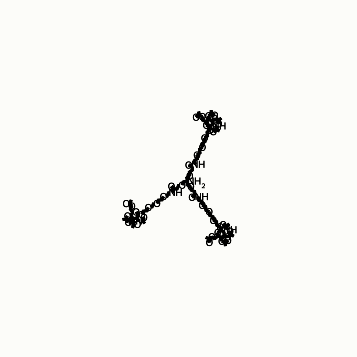 CC(=O)NC1C(OCCOCCOCCOCCNC(=O)CCOCC(N)(COCCC(=O)NCCOCCOCCOCCOC2OC(COC(C)=O)C(OC(C)=O)C(OC(C)=O)C2NC(C)=O)COCCC(=O)NCCOCCOCCOCCOC2OC(COC(C)=O)C(OC(C)=O)C(OC(C)=O)C2NC(C)=O)OC(COC(C)=O)C(OC(C)=O)C1OC(C)=O